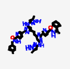 Cc1ccc(CNC(=O)c2ccc(-c3nc(CCc4cc(Nc5cc(C)[nH]n5)nc(-c5ccc(C(=O)N[C@H](C)c6ccccc6)nc5)n4)cc(Nc4cc(C)[nH]n4)n3)cn2)cc1